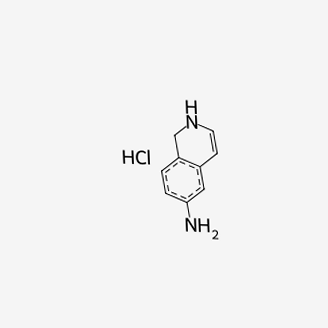 Cl.Nc1ccc2c(c1)C=CNC2